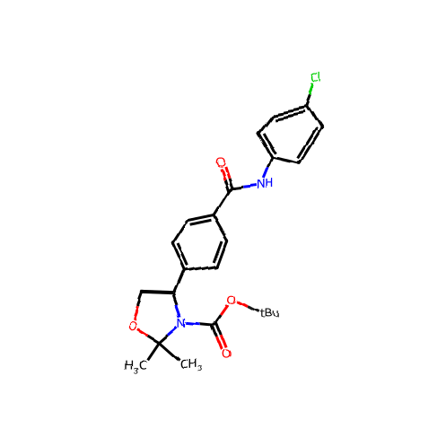 CC(C)(C)OC(=O)N1C(c2ccc(C(=O)Nc3ccc(Cl)cc3)cc2)COC1(C)C